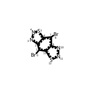 Brc1c2nnsc2c(Br)c2nnsc12